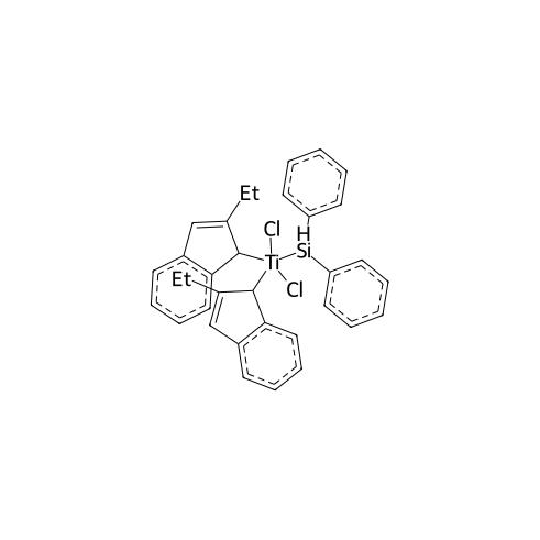 CCC1=Cc2ccccc2[CH]1[Ti]([Cl])([Cl])([CH]1C(CC)=Cc2ccccc21)[SiH](c1ccccc1)c1ccccc1